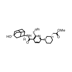 CCCSc1nc(N2CCC[C@@H](CC(=O)OC)C2)ccc1C(=O)N[C@H]1C2CC3CC1C[C@](O)(C3)C2